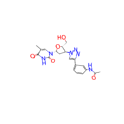 CC(=O)Nc1cccc(-c2cn([C@H]3C[C@H](n4cc(C)c(=O)[nH]c4=O)O[C@@H]3CO)nn2)c1